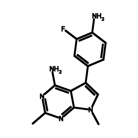 Cc1nc(N)c2c(-c3ccc(N)c(F)c3)cn(C)c2n1